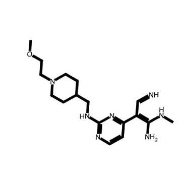 CN/C(N)=C(\C=N)c1ccnc(NCC2CCN(CCOC)CC2)n1